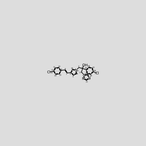 OC(Cn1ccc(/C=C/c2ccc(Cl)cc2)c1)(Cn1cncn1)c1ccc(Cl)cc1